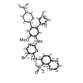 COc1nc(N2CCC(N(C)C)CC2)c(-c2cn(C)nn2)cc1Nc1ncc(Br)c(Nc2ccc3nccnc3c2P(C)(C)=O)n1